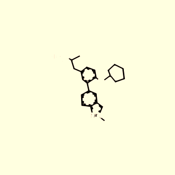 CC(Cc1ccc(OC2CCCCC2)c(-c2ccc3nn(C)cc3c2)c1)C(=O)O